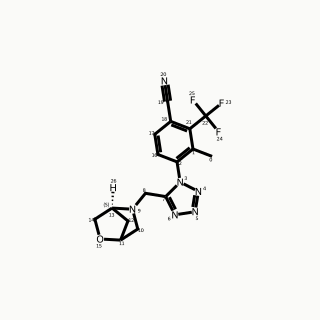 Cc1c(-n2nnnc2CN2CC3C[C@H]2CO3)ccc(C#N)c1C(F)(F)F